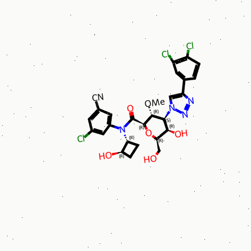 CO[C@@H]1[C@@H](n2cc(-c3ccc(Cl)c(Cl)c3)nn2)[C@@H](O)[C@@H](CO)O[C@H]1C(=O)N(c1cc(Cl)cc(C#N)c1)[C@@H]1CC[C@H]1O